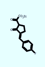 CCOC(=O)C(=O)C1CC/C(=C\c2ccc(F)cc2)C1=O